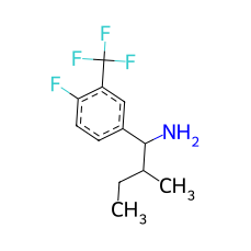 CCC(C)C(N)c1ccc(F)c(C(F)(F)F)c1